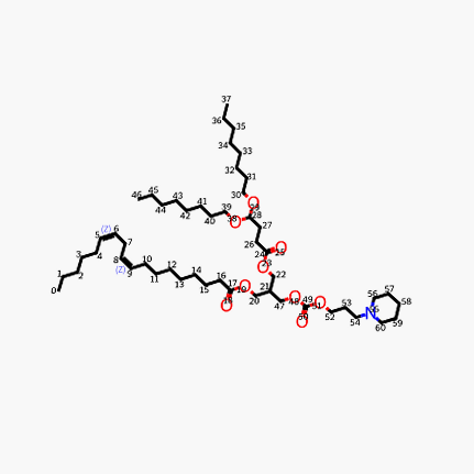 CCCCC/C=C\C/C=C\CCCCCCCC(=O)OCC(COC(=O)CCC(OCCCCCCCC)OCCCCCCCC)COC(=O)OCCCN1CCCCC1